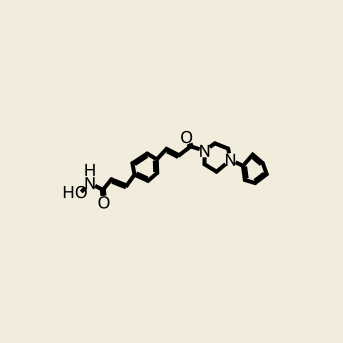 O=C(C=Cc1ccc(C=CC(=O)N2CCN(c3ccccc3)CC2)cc1)NO